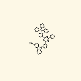 N#Cc1ccc2c(c1)c1ccccc1n2-c1cccc(-c2nc(-c3ccccc3)nc(-c3cccc(S(c4ccccc4)(c4ccccc4)c4ccccc4)c3)n2)c1